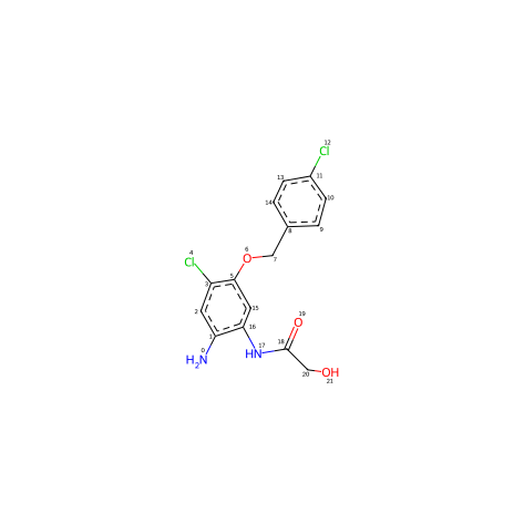 Nc1cc(Cl)c(OCc2ccc(Cl)cc2)cc1NC(=O)CO